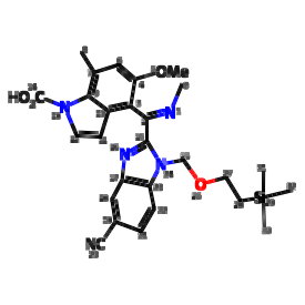 C/N=C(\c1c(OC)cc(C)c2c1ccn2C(=O)O)c1nc2cc(C#N)ccc2n1COCC[Si](C)(C)C